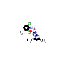 Cc1cc(C)n2nc(S(=O)(=O)Nc3c(Cl)ccc(C)c3Cl)nc2n1